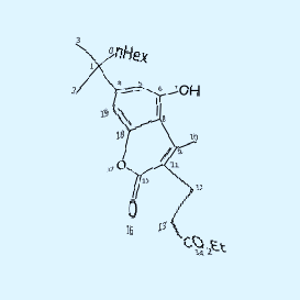 CCCCCCC(C)(C)c1cc(O)c2c(C)c(CCC(=O)OCC)c(=O)oc2c1